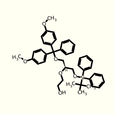 COc1ccc(C(OC[C@@H](CO[Si](c2ccccc2)(c2ccccc2)C(C)(C)C)OCCO)(c2ccccc2)c2ccc(OC)cc2)cc1